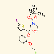 CC(C)(C)OC(=O)N1CCOC(C(Oc2ccccc2OCCF)c2ccc(I)s2)C1